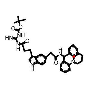 CC(C)(C)OC(=O)NC(=N)NC(=O)CCc1c[nH]c2ccc(CC(=O)NC(c3ccccc3)c3ccccc3N3CCCCC3)cc12